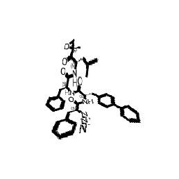 CC(C)C[C@H](NC(=O)[C@H](Cc1ccccc1)NC(=O)[C@H](Cc1ccc(-c2ccccc2)cc1)NC(=O)[C@H](Cc1ccccc1)N=[N+]=[N-])C(=O)[C@@]1(C)CO1